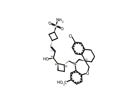 NS(=O)(=O)[C@H]1C[C@H](/C=C/[C@H](O)[C@@H]2CC[C@H]2CN2C[C@@]3(CCCc4cc(Cl)ccc43)COc3ccc(C(=O)O)cc32)C1